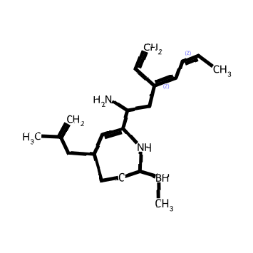 C=C/C(=C\C=C/C)CC(N)C1=CC(CC(=C)C)CCC(BC)N1